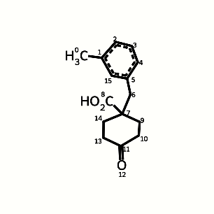 Cc1cccc(CC2(C(=O)O)CCC(=O)CC2)c1